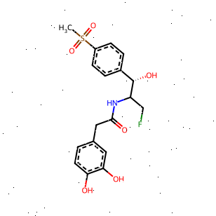 CS(=O)(=O)c1ccc([C@H](O)C(CF)NC(=O)Cc2ccc(O)c(O)c2)cc1